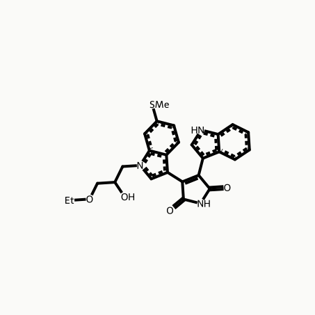 CCOCC(O)Cn1cc(C2=C(c3c[nH]c4ccccc34)C(=O)NC2=O)c2ccc(SC)cc21